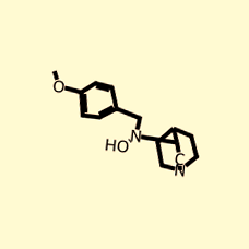 COc1ccc(CN(O)C2CN3CCC2CC3)cc1